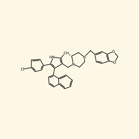 Cc1[nH]c(-c2ccc(Cl)cc2)c(-c2cccc3ccccc23)c1CN1CCN(Cc2ccc3c(c2)OCO3)CC1